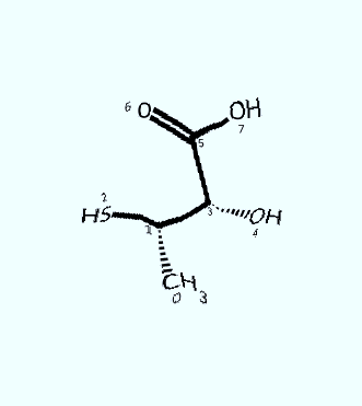 C[C@H](S)[C@@H](O)C(=O)O